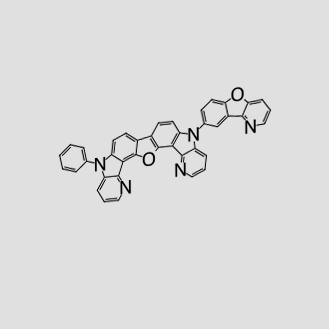 c1ccc(-n2c3cccnc3c3c4oc5c(ccc6c5c5ncccc5n6-c5ccc6oc7cccnc7c6c5)c4ccc32)cc1